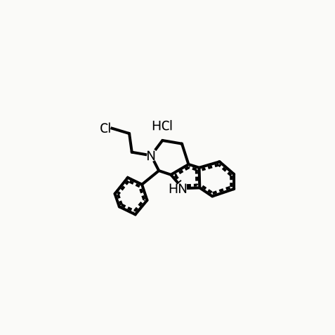 Cl.ClCCN1CCc2c([nH]c3ccccc23)C1c1ccccc1